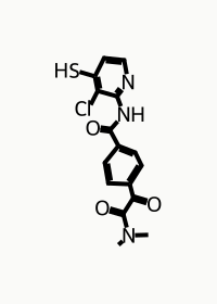 CN(C)C(=O)C(=O)c1ccc(C(=O)Nc2nccc(S)c2Cl)cc1